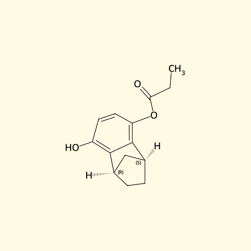 CCC(=O)Oc1ccc(O)c2c1[C@H]1CC[C@@H]2C1